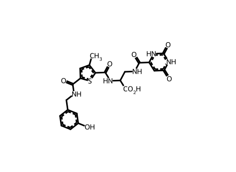 Cc1cc(C(=O)NCc2cccc(O)c2)sc1C(=O)NC(CNC(=O)c1cc(=O)[nH]c(=O)[nH]1)C(=O)O